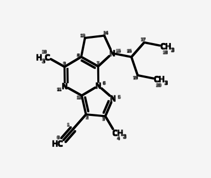 C#Cc1c(C)nn2c3c(c(C)nc12)CCN3C(CC)CC